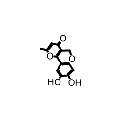 Cc1cc(=O)c2c(o1)-c1cc(O)c(O)cc1OC2